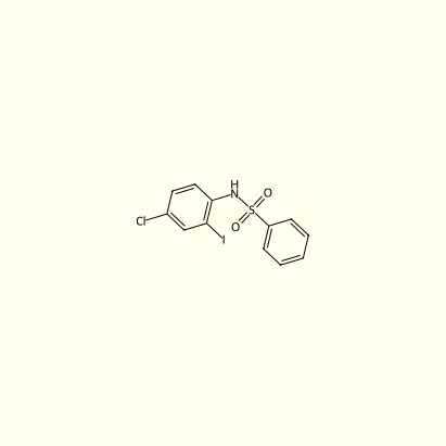 O=S(=O)(Nc1ccc(Cl)cc1I)c1ccccc1